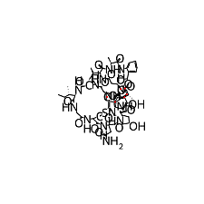 CC[C@H](C)[C@@H]1NC(=O)CNC(=O)C2Cc3c([nH]c4cc(O)ccc34)[S@+]([O-])CC(NC(=O)CNC1=O)C(=O)NC(CC(N)=O)C(=O)N1CC(O)CC1C(=O)N[C@@H]([C@@H](C)[C@@H]1COC(c3ccccc3NC(=O)[C@H](C)NC(=O)C(NC(=O)CCN3C(=O)C=CC3=O)C(C)C)O1)C(=O)N2